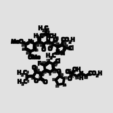 CC(C)=C1OC(=O)N(c2cc(OC3CCCC3)c(Cl)cc2F)C1=O.COc1cc(OC)nc(NC(=O)NS(=O)(=O)c2c(C(=O)O)c(Cl)nn2C)n1.C[S+](C)C.O=C(O)CNCP(=O)([O-])O